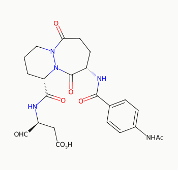 CC(=O)Nc1ccc(C(=O)N[C@H]2CCC(=O)N3CCC[C@@H](C(=O)N[C@H](C=O)CC(=O)O)N3C2=O)cc1